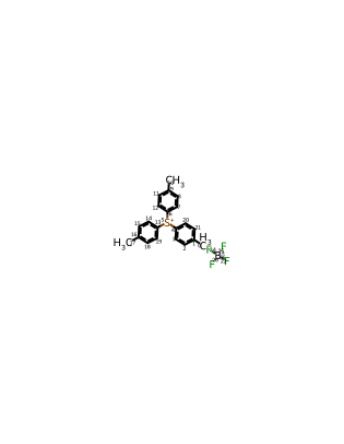 Cc1ccc([S+](c2ccc(C)cc2)c2ccc(C)cc2)cc1.F[B-](F)(F)F